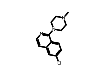 CN1CCN(c2nccc3cc(Cl)ccc23)CC1